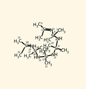 C[Si](C)=N[Si](C)(C)N[Si](C)(C)N[Si](C)(C)N[Si](C)(C)N[SiH](C)C